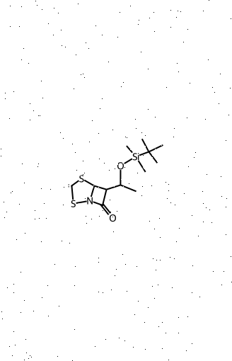 CC(O[Si](C)(C)C(C)(C)C)C1C(=O)N2S[C]SC12